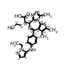 CCn1nccc1Nc1ccc(C2=NC([C@H](CCO)C(=O)O)c3nnc(C)n3-c3sc(C)c(C)c32)cc1